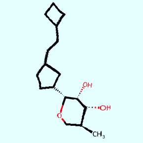 C[C@H]1CO[C@H](C2CCC(CCC3CCC3)C2)[C@H](O)[C@@H]1O